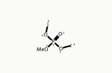 COP(=O)(OI)OI